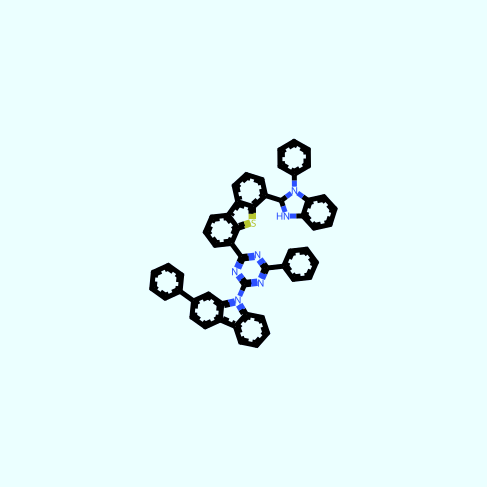 c1ccc(-c2ccc3c4ccccc4n(-c4nc(-c5ccccc5)nc(-c5cccc6c5sc5c(C7Nc8ccccc8N7c7ccccc7)cccc56)n4)c3c2)cc1